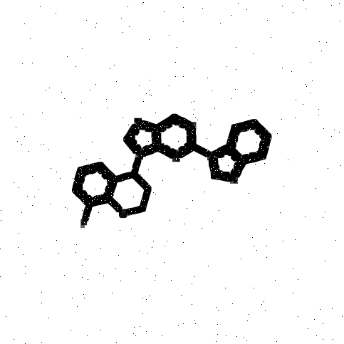 Fc1cccc2c1OCCC2n1cnc2cnc(-n3cnc4ccccc43)nc21